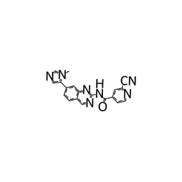 Cn1cncc1-c1ccc2cnc(NC(=O)c3ccnc(C#N)c3)nc2c1